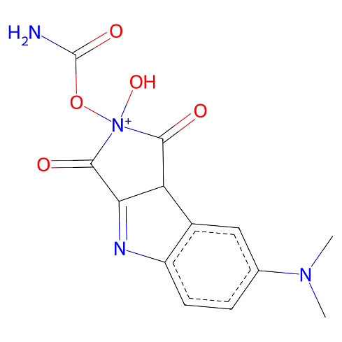 CN(C)c1ccc2c(c1)C1C(=O)[N+](O)(OC(N)=O)C(=O)C1=N2